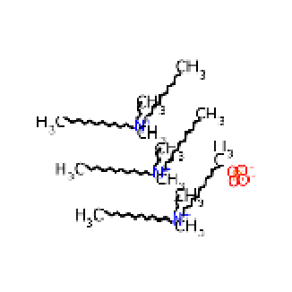 CCCCCCCCCCCCC[N+](C)(CCCC)CCCCCCCCCCCC.CCCCCCCCCCCCC[N+](C)(CCCC)CCCCCCCCCCCC.CCCCCCCCCCCCC[N+](C)(CCCC)CCCCCCCCCCCC.O=P([O-])([O-])[O-]